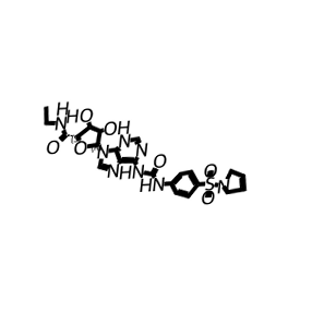 CCNC(=O)[C@H]1O[C@@H](n2cnc3c(NC(=O)Nc4ccc(S(=O)(=O)N5CC=CC5)cc4)ncnc32)C(O)C1O